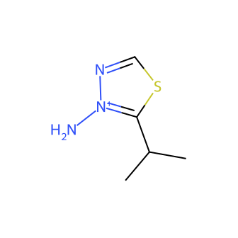 CC(C)c1scn[n+]1N